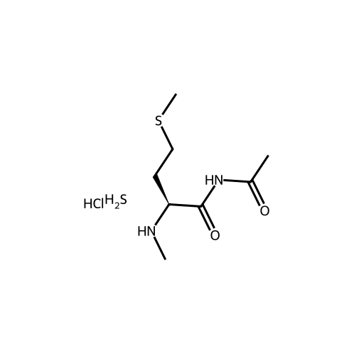 CN[C@@H](CCSC)C(=O)NC(C)=O.Cl.S